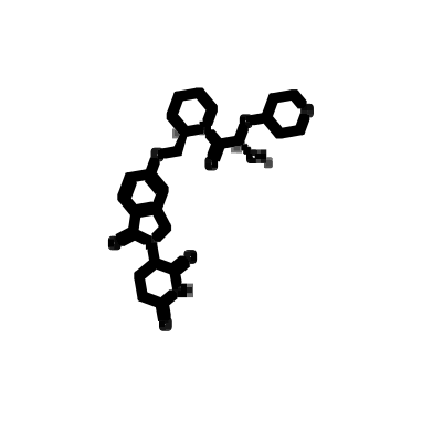 C[C@@H](OC1CCOCC1)C(=O)N1CCCC[C@@H]1COc1ccc2c(c1)CN(C1CCC(=O)NC1=O)C2=O